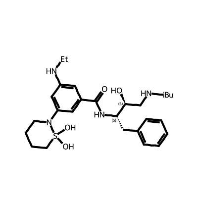 CCNc1cc(C(=O)N[C@@H](Cc2ccccc2)[C@@H](O)CNC(C)CC)cc(N2CCCCS2(O)O)c1